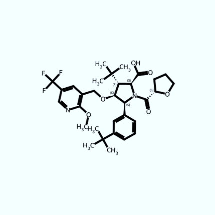 COc1ncc(C(F)(F)F)cc1CO[C@H]1[C@H](C(C)(C)C)[C@@H](C(=O)O)N(C(=O)[C@@H]2CCCO2)[C@H]1c1cccc(C(C)(C)C)c1